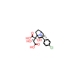 CN1C2CCC1([C@](O)(C(=O)O)[C@@H](O)C(=O)O)C=C(c1ccc(Cl)cc1)C2